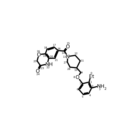 CCc1c(N)cccc1OCC1CCN(C(=O)c2ccc3c(c2)NC(=O)CO3)CC1